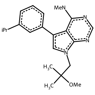 CNc1ncnc2c1c(-c1cccc(C(C)C)c1)cn2CC(C)(C)OC